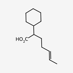 C/C=C/CCC(C(=O)O)C1CCCCC1